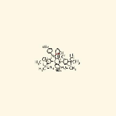 Cc1cc2c3c(c1)N(c1ccc(C(C)(C)C)cc1-c1ccccc1)c1cc4c(cc1C3c1ccc(C(C)(C)C)cc1N2c1cc2c(cc1C)C(C)(C)CC2(C)C)C(C)(C)CC4(C)C